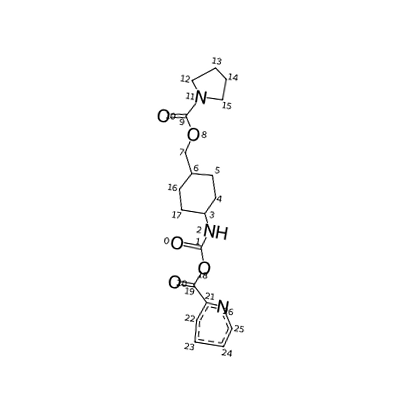 O=C(NC1CCC(COC(=O)N2CCCC2)CC1)OC(=O)c1ccccn1